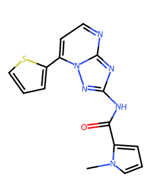 Cn1cccc1C(=O)Nc1nc2nccc(-c3cccs3)n2n1